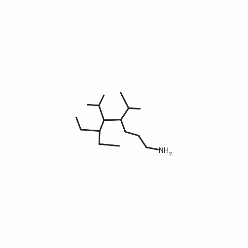 CCC(CC)C(C(C)C)C(CCCN)C(C)C